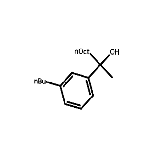 CCCCCCCCC(C)(O)c1cccc(CCCC)c1